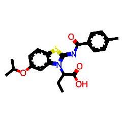 CCC(C(=O)O)n1c(=NC(=O)c2ccc(C)cc2)sc2ccc(OC(C)C)cc21